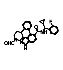 O=CN1CCC(c2ccccc2-c2c(C(=O)NC(c3ccccc3F)C3CC3)ccc3[nH]ncc23)CC1